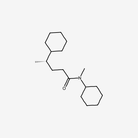 C[C@@H](CCC(=O)N(C)C1CCCCC1)C1CCCCC1